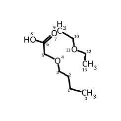 CCCCOCC(=O)O.CCOCC